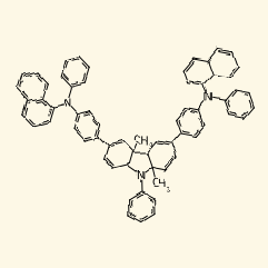 CC12C=C(c3ccc(N(c4ccccc4)c4cccc5ccccc45)cc3)C=CC1N(c1ccccc1)C1(C)C=CC(c3ccc(N(C4=CC=CC5C=CC=CC45)c4ccccc4)cc3)=CC21